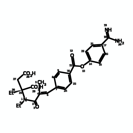 CCN(C(=O)/C(C)=C/c1ccc(C(=O)Oc2ccc(C(=N)N)cc2)cc1)[C@@](CC)(CC(=O)O)C(=O)O